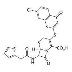 O=C(Cc1cccs1)NC1C(=O)N2C(C(=O)O)=C(Sc3cc(=O)c4ccc(Cl)cc4s3)CS[C@H]12